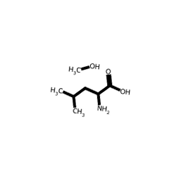 CC(C)CC(N)C(=O)O.CO